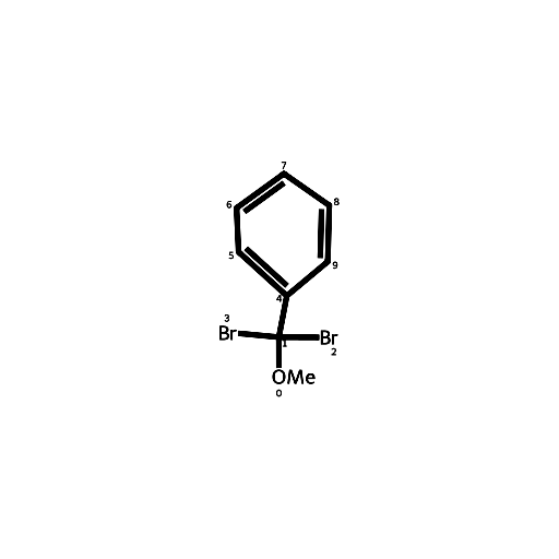 COC(Br)(Br)c1ccccc1